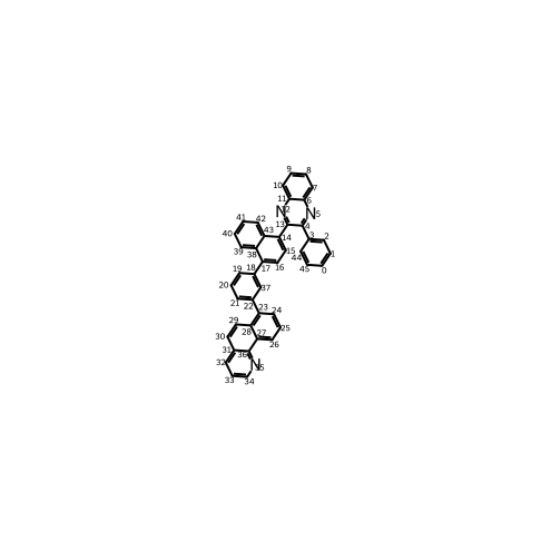 c1ccc(-c2nc3ccccc3nc2-c2ccc(-c3cccc(-c4cccc5c4ccc4cccnc45)c3)c3ccccc23)cc1